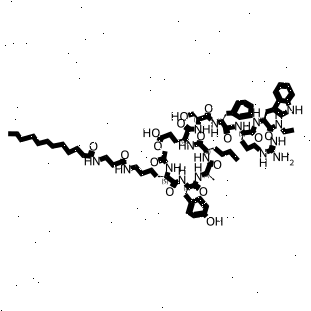 CCCCCCCCCCCC(=O)NCCC(=O)NCCCC[C@H](NC(C)=O)C(=O)N[C@@H](Cc1ccc(O)cc1)C(=O)N[C@@H](C)C(=O)N[C@@H](CCCC)C(=O)N[C@@H](CCC(=O)O)C(=O)N[C@@H](CO)C(=O)N[C@H](Cc1ccccc1)C(=O)N[C@@H](CCCNC(=N)N)C(=O)N[C@@H](Cc1c[nH]c2ccccc12)C(=O)NCC